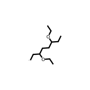 [CH2]CC(CCC(CC)OCC)OCC